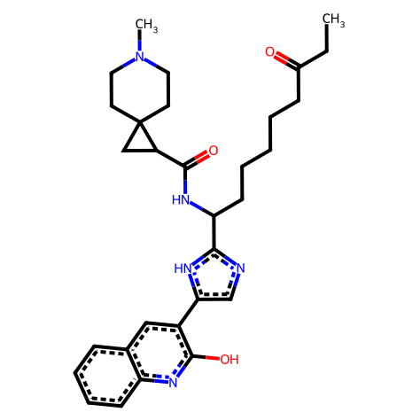 CCC(=O)CCCCCC(NC(=O)C1CC12CCN(C)CC2)c1ncc(-c2cc3ccccc3nc2O)[nH]1